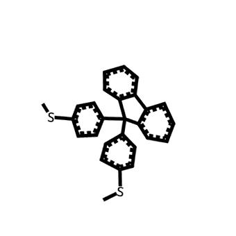 CSc1ccc(C2(c3ccc(SC)cc3)c3ccccc3-c3ccccc32)cc1